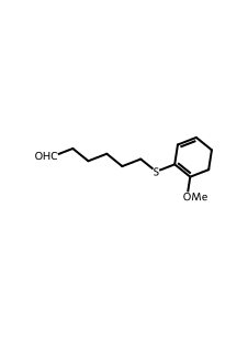 COC1=C(SCCCCCC=O)C=CCC1